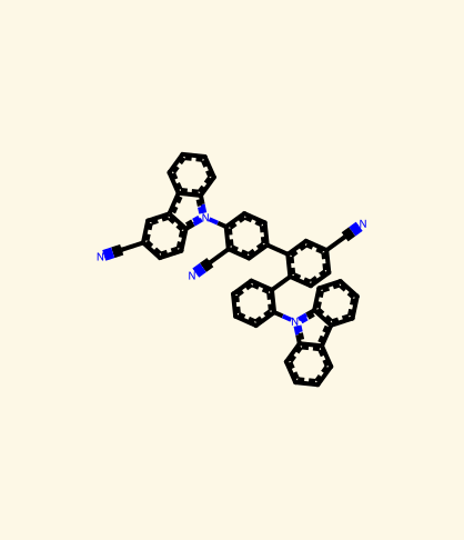 N#Cc1ccc(-c2ccccc2-n2c3ccccc3c3ccccc32)c(-c2ccc(-n3c4ccccc4c4cc(C#N)ccc43)c(C#N)c2)c1